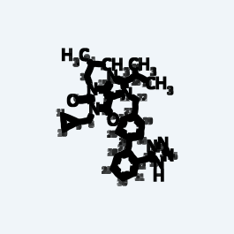 CC(C)Cn1c(=O)n(CC2CC2)c(=O)c2c1nc(C(C)C)n2Cc1ccc(-c2ccccc2-c2nnn[nH]2)cc1